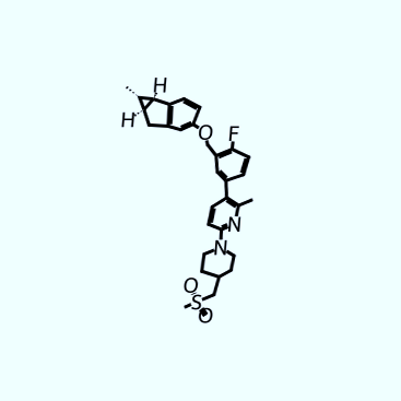 Cc1nc(N2CCC(CS(C)(=O)=O)CC2)ccc1-c1ccc(F)c(COc2ccc3c(c2)C[C@H]2[C@H](C)[C@@H]32)c1